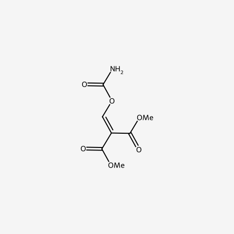 COC(=O)C(=COC(N)=O)C(=O)OC